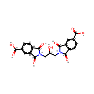 O=C(O)c1ccc2c(c1)C(=O)N(CC(O)CN1C(=O)c3ccc(C(=O)O)cc3C1=O)C2=O